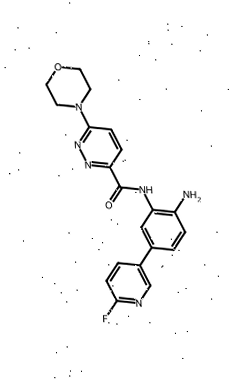 Nc1ccc(-c2ccc(F)nc2)cc1NC(=O)c1ccc(N2CCOCC2)nn1